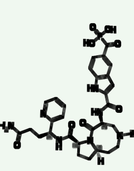 CC(C)N1CC[C@H]2CC[C@@H](C(=O)N[C@@H](CCC(N)=O)c3ccccn3)N2C(=O)[C@@H](NC(=O)c2cc3cc(C(=O)P(=O)(O)O)ccc3[nH]2)C1